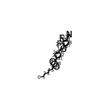 CCCCCCC1COC(c2ccc(COc3ccc(C#N)c(F)c3F)cc2)CO1